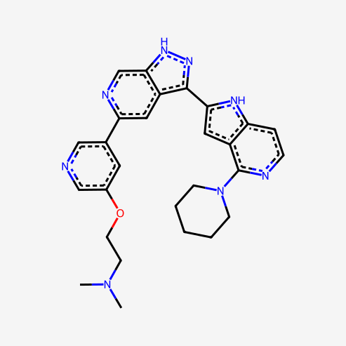 CN(C)CCOc1cncc(-c2cc3c(-c4cc5c(N6CCCCC6)nccc5[nH]4)n[nH]c3cn2)c1